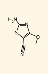 COc1nc(N)sc1C#N